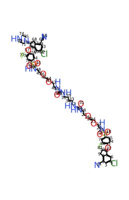 N#Cc1cc(Cl)cc2c1CC[C@H]2Oc1ccc(S(=O)(=O)NCCOCCOCCNC(=O)NCCCCNC(=O)NCCOCCOCCNS(=O)(=O)c2ccc(O[C@H]3c4cc(Cl)cc(C#N)c4C[C@@H]3N3CCNCC3)c(F)c2)cc1F